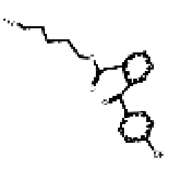 CCCCCCOC(=O)c1ccccc1C(=O)c1ccc(O)cc1